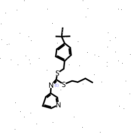 CCCCS/C(=N\c1cccnc1)SCc1ccc(C(C)(C)C)cc1